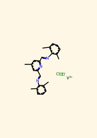 Cc1cc(C=Nc2c(C)cccc2C)nc(C=Nc2c(C)cccc2C)c1.[Cl-].[Cl-].[Cl-].[V+3]